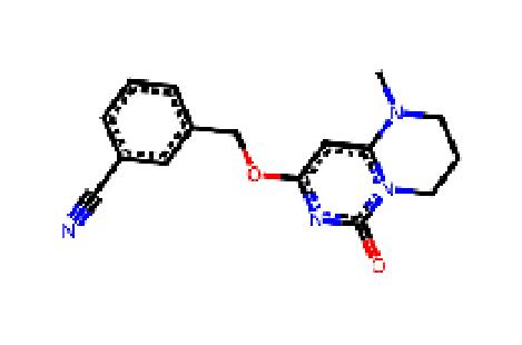 CN1CCCn2c1cc(OCc1cccc(C#N)c1)nc2=O